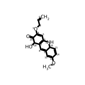 C=CCOC1=CC2=C(C=C3C=C(OC)C=CC3N2)C(O)C1=O